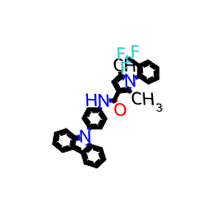 Cc1cc(C(=O)Nc2ccc(-n3c4ccccc4c4ccccc43)cc2)c(C)n1-c1ccccc1C(F)(F)F